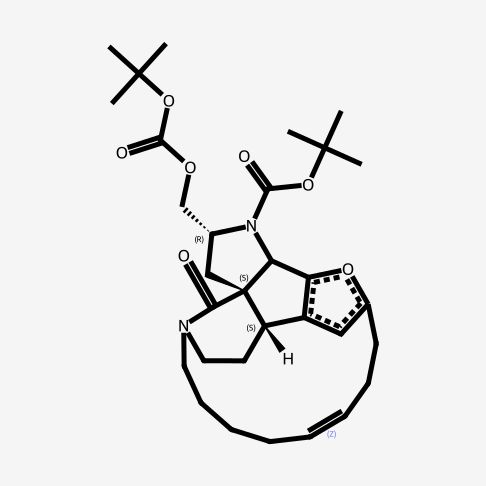 CC(C)(C)OC(=O)OC[C@H]1C[C@@]23C(=O)N4CCCC/C=C\CCc5cc(c(o5)C2N1C(=O)OC(C)(C)C)[C@@H]3CC4